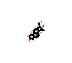 C#C[C@H]1[C@H]2C[C@H]2[C@H]2[C@@H]3C=CC4=CC(=O)CC[C@]4(C)[C@H]3CC[C@@]21C